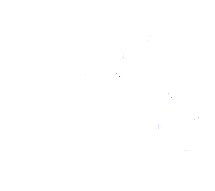 CCN(C(=O)O)c1cc2c(cn1)c(Br)nn2COCC[Si](C)(C)C